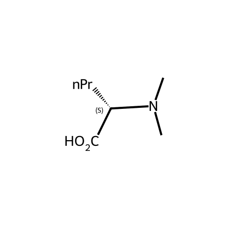 CCC[C@@H](C(=O)O)N(C)C